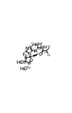 C#C[C@@]1(n2cnc3c2N=C(NC(=O)C(C)C)NC3)O[C@H](CO)[C@@H](O)[C@H]1F